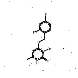 Cc1nc(OCc2ccc(F)cc2F)c(Br)c(=O)[nH]1